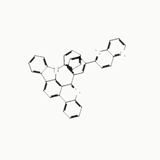 c1ccc(-n2c3ccccc3c3ccc4c5ccccc5nc(-c5cccc(-c6ccc7ncccc7n6)c5)c4c32)cc1